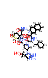 CC(C)(O)C1=CNNN1[C@H]1C[C@@H](C(=O)NC2(C(O)C(N)=O)CCS(=O)(=O)C2)N(C(=O)[C@@H](CC2CCCCC2)NC(=O)c2ccc3ccccc3c2)C1